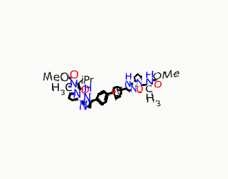 COC(=O)NC(C)C(=O)N1CCC[C@H]1C1=NCC(C23CCC(c4ccc(-c5cnc([C@@H]6CCCN6C(=O)[C@H](C(C)C)N(C)C(=O)OC)[nH]5)cc4)(CC2)CC3)N1